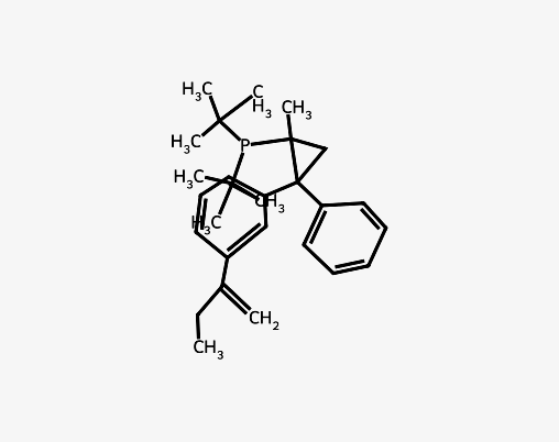 C=C(CC)c1cccc(C2(c3ccccc3)CC2(C)P(C(C)(C)C)C(C)(C)C)c1